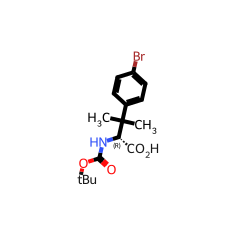 CC(C)(C)OC(=O)N[C@@H](C(=O)O)C(C)(C)c1ccc(Br)cc1